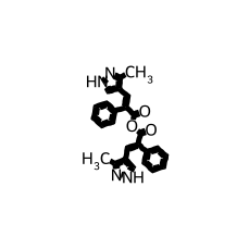 Cc1n[nH]cc1/C=C(/C(=O)OC(=O)/C(=C/c1c[nH]nc1C)c1ccccc1)c1ccccc1